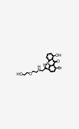 O=c1c2c(O)cccc2n2nc(CNCCOCCO)c3ccc(Br)c1c32